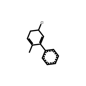 CC1=CCC(Cl)C=C1c1ccccc1